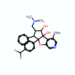 COc1cncc2c1C1(O)C(O)C(CN(C)C)C(c3ccccc3)C1(c1ccc(C(F)F)cc1)O2